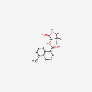 COc1cccc2c1CCCC2C(=O)OC1C(=O)OCC1(C)C